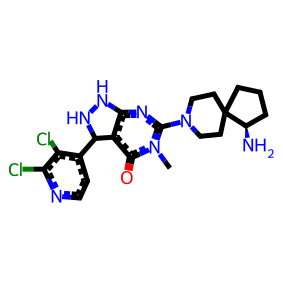 Cn1c(N2CCC3(CCC[C@H]3N)CC2)nc2c(c1=O)C(c1ccnc(Cl)c1Cl)NN2